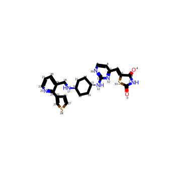 O=C1NC(=O)C(=Cc2ccnc(N[C@H]3CC[C@H](NCc4cccnc4-c4ccsc4)CC3)n2)S1